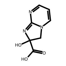 O=C(O)C1(O)CN2C=CC=NC2=N1